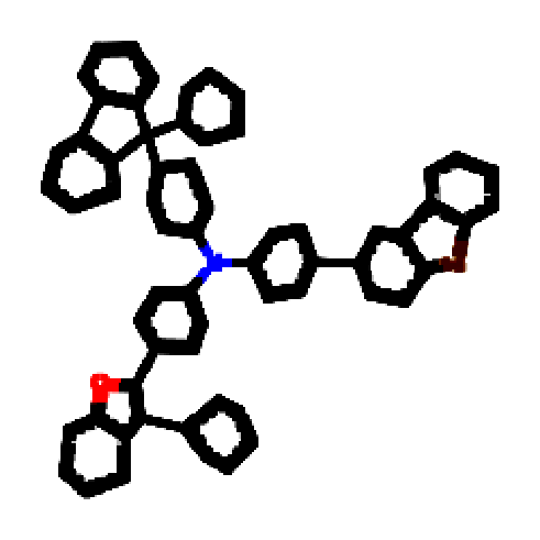 c1ccc(-c2c(-c3ccc(N(c4ccc(-c5ccc6sc7ccccc7c6c5)cc4)c4ccc(C5(c6ccccc6)c6ccccc6-c6ccccc65)cc4)cc3)oc3ccccc23)cc1